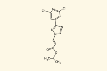 CC(C)OC(=O)/C=C/n1cnc(-c2cc(Cl)nc(Cl)c2)n1